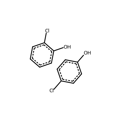 Oc1ccc(Cl)cc1.Oc1ccccc1Cl